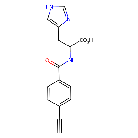 [C]#Cc1ccc(C(=O)NC(Cc2c[nH]cn2)C(=O)O)cc1